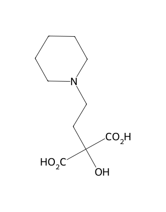 O=C(O)C(O)(CCN1CCCCC1)C(=O)O